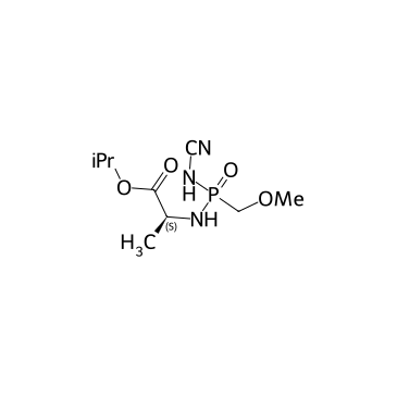 COCP(=O)(NC#N)N[C@@H](C)C(=O)OC(C)C